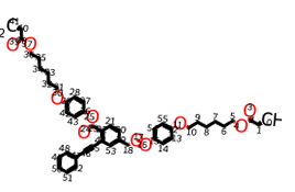 C=CC(=O)OCCCCCCOc1ccc(OOCc2ccc(C(=O)Oc3ccc(OCCCCCCOC(=O)C=C)cc3)c(C#Cc3ccccc3)c2)cc1